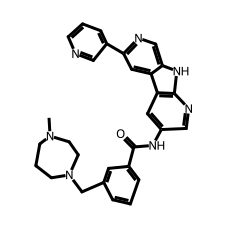 CN1CCCN(Cc2cccc(C(=O)Nc3cnc4[nH]c5cnc(-c6cccnc6)cc5c4c3)c2)CC1